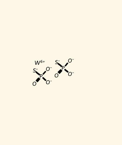 O=P([O-])([O-])[S-].O=P([O-])([O-])[S-].[W+6]